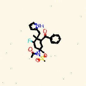 CC(=O)N(C1(C)C=C(F)C(C)(Cc2ccc[nH]2)C(C(=O)c2ccccc2)=C1)S(C)(=O)=O